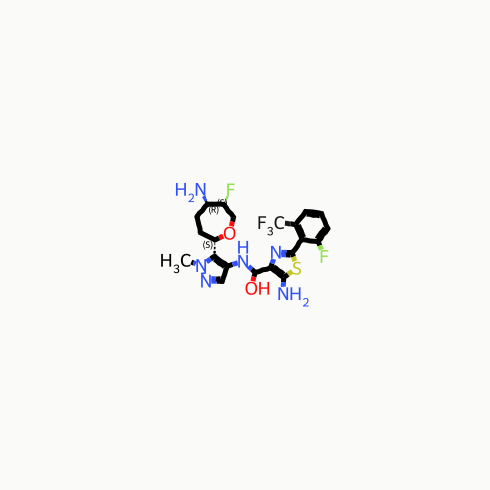 Cn1ncc(NC(O)c2nc(-c3c(F)cccc3C(F)(F)F)sc2N)c1[C@@H]1CC[C@@H](N)[C@H](F)CO1